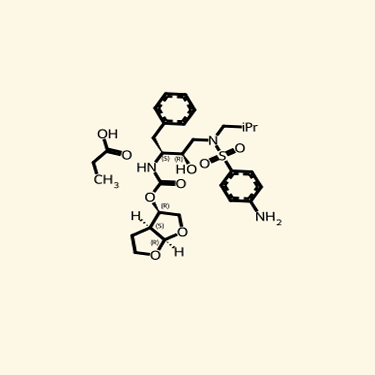 CC(C)CN(C[C@@H](O)[C@H](Cc1ccccc1)NC(=O)O[C@H]1CO[C@H]2OCC[C@H]21)S(=O)(=O)c1ccc(N)cc1.CCC(=O)O